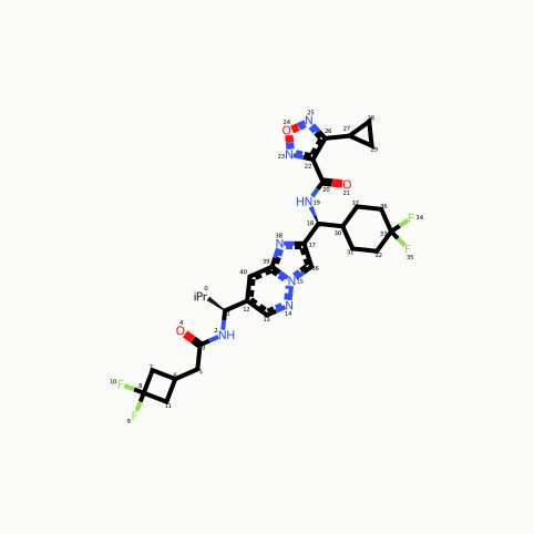 CC(C)[C@H](NC(=O)CC1CC(F)(F)C1)c1cnn2cc([C@@H](NC(=O)c3nonc3C3CC3)C3CCC(F)(F)CC3)nc2c1